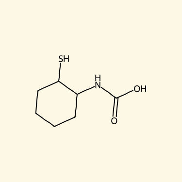 O=C(O)NC1CCCCC1S